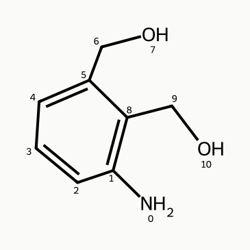 Nc1cccc(CO)c1CO